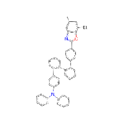 CCc1cc(C)cc2nc(-c3ccc(-c4ccccc4-c4ccccc4-c4ccc(N(c5ccccc5)c5ccccc5)cc4)cc3)oc12